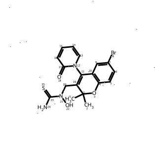 CC1(C)Oc2ccc(Br)cc2C(n2ccccc2=O)=C1CN(O)C(N)=S